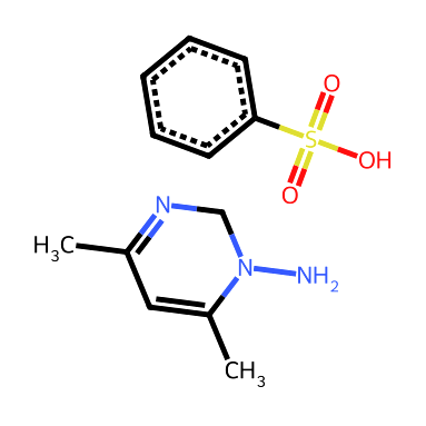 CC1=CC(C)=NCN1N.O=S(=O)(O)c1ccccc1